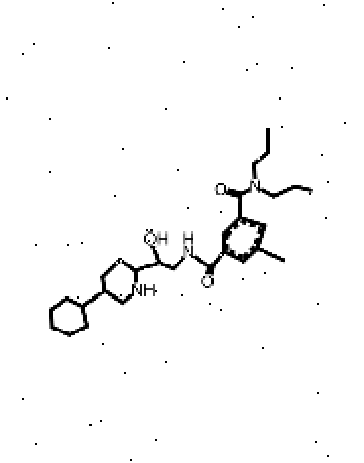 CCCN(CCC)C(=O)c1cc(C)cc(C(=O)NCC(O)C2CCC(C3CCCCC3)CN2)c1